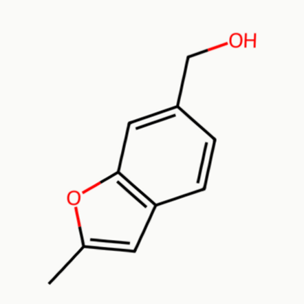 Cc1cc2ccc(CO)cc2o1